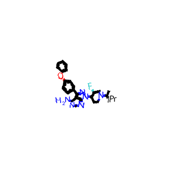 CC(C)C(C)N1CCC(n2nc(-c3ccc(Oc4ccccc4)cc3)c3c(N)ncnc32)C(F)C1